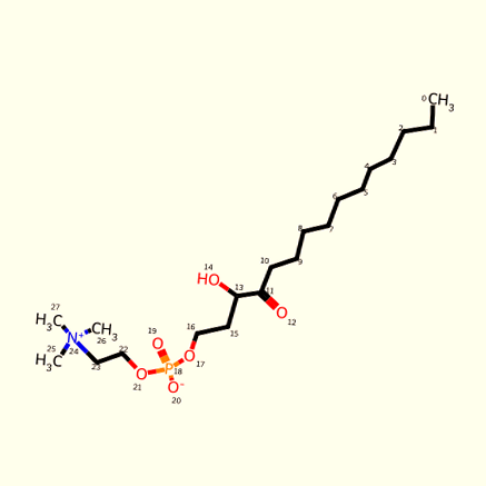 CCCCCCCCCCCC(=O)C(O)CCOP(=O)([O-])OCC[N+](C)(C)C